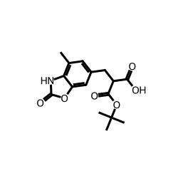 Cc1cc(CC(C(=O)O)C(=O)OC(C)(C)C)cc2oc(=O)[nH]c12